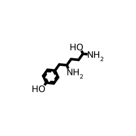 NC(O)CCC(N)Cc1ccc(O)cc1